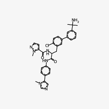 Cn1cncc1-c1ccc(NC(=O)C(Cc2cc(-c3cccc(C(C)(C)N)c3)ccc2Cl)NC(=O)c2ccnn2C)cc1